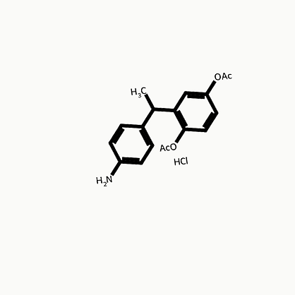 CC(=O)Oc1ccc(OC(C)=O)c(C(C)c2ccc(N)cc2)c1.Cl